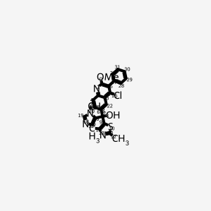 COc1nc2ccc(C(O)(c3sc(C)nc3C)c3cncn3C)cc2c(Cl)c1-c1ccccc1